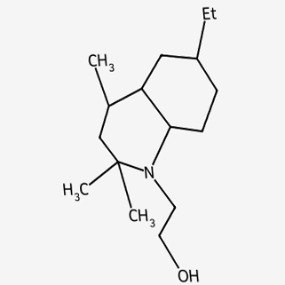 CCC1CCC2C(C1)C(C)CC(C)(C)N2CCO